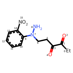 CCC(=O)C(=O)CCN(N)c1ccccc1[N+](=O)[O-]